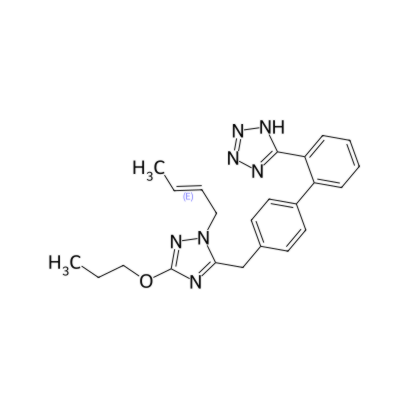 C/C=C/Cn1nc(OCCC)nc1Cc1ccc(-c2ccccc2-c2nnn[nH]2)cc1